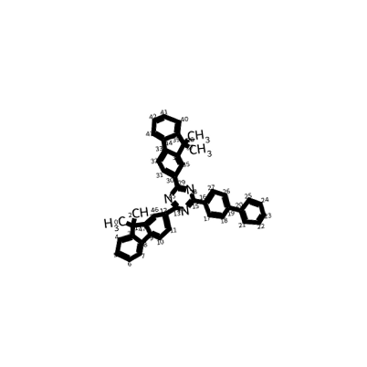 CC1(C)c2ccccc2-c2ccc(-c3nc(-c4ccc(-c5ccccc5)cc4)nc(-c4ccc5c(c4)C(C)(C)c4ccccc4-5)n3)cc21